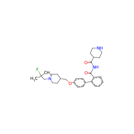 CC(C)(F)CN1CCC(COc2ccc(-c3ccccc3C(=O)NC(=O)C3CCNCC3)cc2)CC1